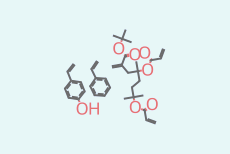 C=CC(=O)OC(C)(C)CCC(C)(CC(=C)C(=O)OC(C)(C)C)OC(=O)C=C.C=Cc1ccc(O)cc1.C=Cc1ccccc1